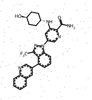 NC(=O)c1ncc(-n2nc(C(F)(F)F)c3c(-c4cnc5ccccc5c4)cccc32)cc1N[C@H]1CC[C@H](O)CC1